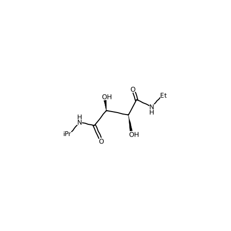 CCNC(=O)[C@@H](O)[C@H](O)C(=O)NC(C)C